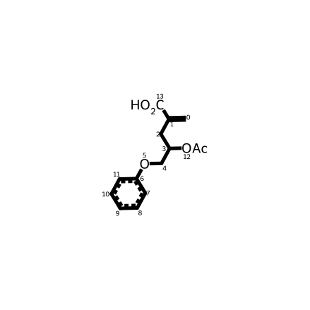 C=C(CC(COc1ccccc1)OC(C)=O)C(=O)O